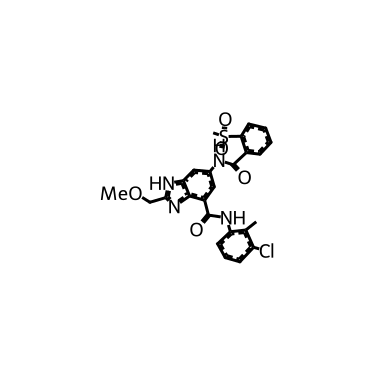 COCc1nc2c(C(=O)Nc3cccc(Cl)c3C)cc(NC(=O)c3ccccc3S(C)(=O)=O)cc2[nH]1